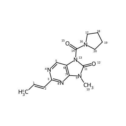 C/C=C/c1ncc2c(n1)n(C)c(=O)n2C(=O)N1CCCC1